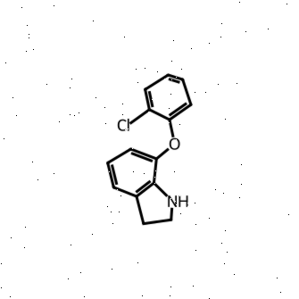 Clc1ccccc1Oc1cccc2c1NCC2